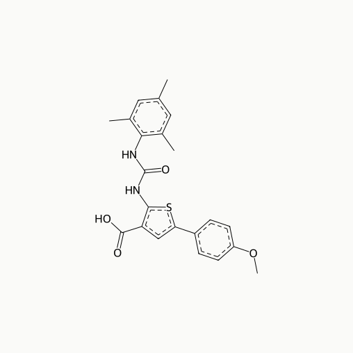 COc1ccc(-c2cc(C(=O)O)c(NC(=O)Nc3c(C)cc(C)cc3C)s2)cc1